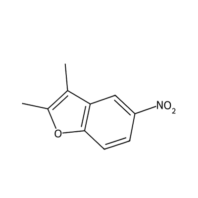 Cc1oc2ccc([N+](=O)[O-])cc2c1C